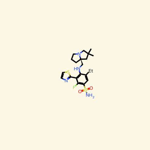 CCc1cc(S(N)(=O)=O)c(F)c(-c2nccs2)c1NC[C@@]12CCCN1CC(C)(C)C2